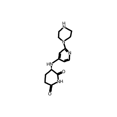 O=C1CC[C@@H](Nc2ccnc(N3CCNCC3)c2)C(=O)N1